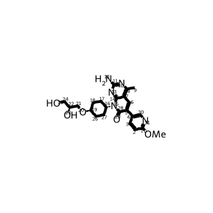 COc1ccc(-c2cc3c(C)nc(N)nc3n([C@H]3CC[C@H](OC[C@@H](O)CO)CC3)c2=O)cn1